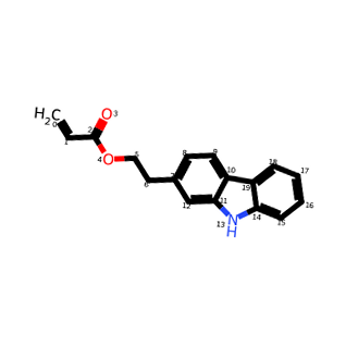 C=CC(=O)OCCc1ccc2c(c1)[nH]c1ccccc12